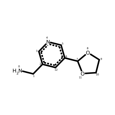 NCc1cncc(C2OCCO2)c1